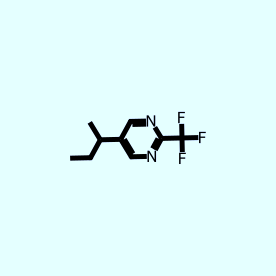 CCC(C)c1cnc(C(F)(F)F)nc1